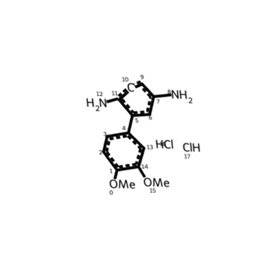 COc1ccc(-c2cc(N)ccc2N)cc1OC.Cl.Cl